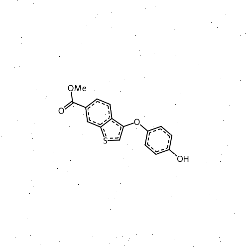 COC(=O)c1ccc2c(Oc3ccc(O)cc3)csc2c1